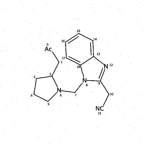 CC(=O)CC1CCCN1Cn1c(CC#N)nc2ccccc21